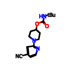 CC(C)(C)NC(=O)OC1CCN(c2cc(C#N)ccn2)CC1